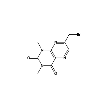 Cn1c(=O)c2ncc(CBr)nc2n(C)c1=O